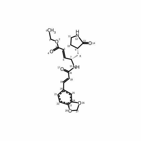 CCOC(=O)C=C[C@H](C[C@@H]1CCNC1=O)NC(=O)C=Cc1ccc2c(c1)OCO2